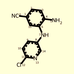 N#Cc1ccc(N)c(Nc2ccc(Cl)nc2)c1